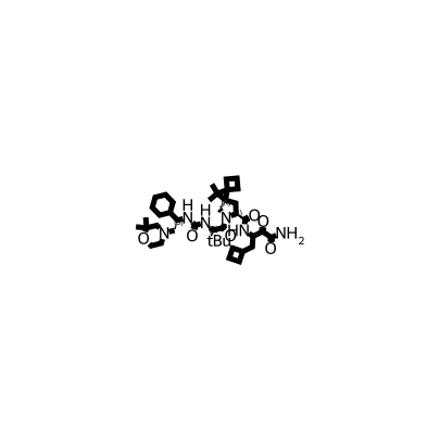 CC1(C)CN(C[C@@H](NC(=O)N[C@H](C(=O)N2C[C@]3(C[C@H]2C(=O)NC(CC2CCC2)C(=O)C(N)=O)C(C)(C)C32CCC2)C(C)(C)C)C2CCCCC2)CCO1